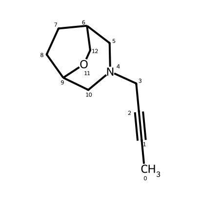 CC#CCN1CC2CCC(C1)OC2